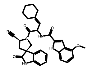 COc1cccc2[nH]c(C(=O)NC(C=C3CCCCC3)C(=O)N3C[C@]4(C[C@H]3C#N)C(=O)Nc3ccccc34)cc12